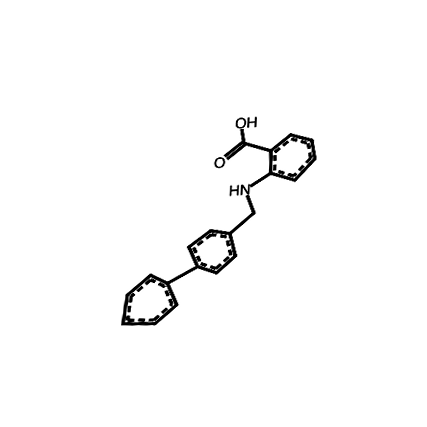 O=C(O)c1ccccc1NCc1ccc(-c2ccccc2)cc1